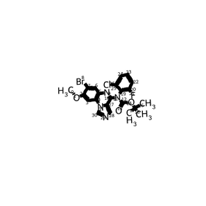 COc1cc2c(cc1Br)nc(N(C(=O)OC(C)(C)C)c1c(F)cccc1Cl)c1cncn12